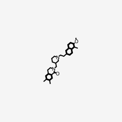 COc1ccc2cc(CCN3CCCC(CN4CCc5cc(C)c(C)cc5C4=O)C3)ccc2c1C